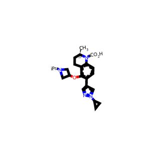 CC(C)N1CC(Oc2c(-c3cnn(C4CC4)c3)ccc3c2CC[C@H](C)N3C(=O)O)C1